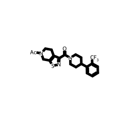 CC(=O)N1CCc2c(C(=O)N3CCC(c4ccccc4C(F)(F)F)CC3)nsc2C1